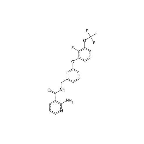 Nc1ncccc1C(=O)NCc1cccc(Oc2cccc(OC(F)(F)F)c2F)c1